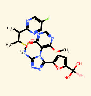 BC(O)(O)c1ccc(-c2nnc(N[S+]([O-])C(C)C(C)c3ncc(F)cn3)n2-c2c(OC)ncnc2OC)o1